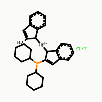 CC1=Cc2ccccc2[CH]1[Hf+2][CH]1C(P(C2CCCCC2)C2CCCCC2)=Cc2ccccc21.[Cl-].[Cl-]